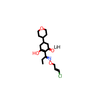 CCC(=NOCC=CCl)C1=C(O)CC(C2CCOCC2)CC1=O.[LiH]